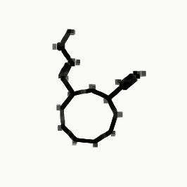 CO/N=C/C1CCCCCCC(C#N)C1